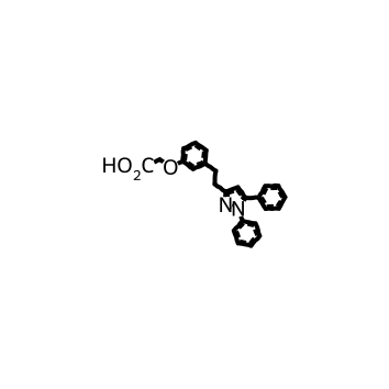 O=C(O)COc1cccc(CCc2cc(-c3ccccc3)n(-c3ccccc3)n2)c1